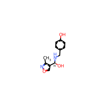 Cc1nocc1[C@H](O)NCc1ccc(O)cc1